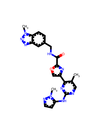 Cc1cnc(Nc2ccnn2C)nc1-c1coc(C(=O)NCc2ccc3c(c2)nnn3C)n1